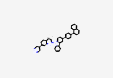 N#Cc1cc(-n2c3ccccc3c3cc(-c4ccc(-c5cccc6ccccc56)cc4)ccc32)nc2cc(-c3ccncc3)ccc12